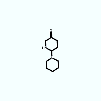 O=C1CCC(N2CCCCC2)NC1